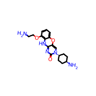 NCCOc1cccc2c1Nc1nc(=O)n([C@H]3CC[C@H](N)CC3)cc1O2